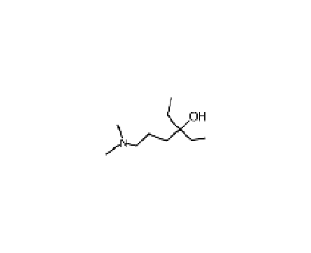 CCC(O)(CC)CCCN(C)C